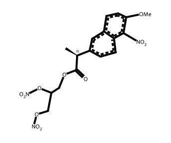 COc1ccc2cc([C@H](C)C(=O)OCC(CO[N+](=O)[O-])O[N+](=O)[O-])ccc2c1[N+](=O)[O-]